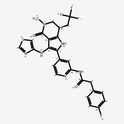 CN1C[C@@H](CC(F)(F)F)c2[nH]c(-c3ccnc(NC(=O)Cc4ccc(F)cc4)c3)c(Nc3cscn3)c2C1=O